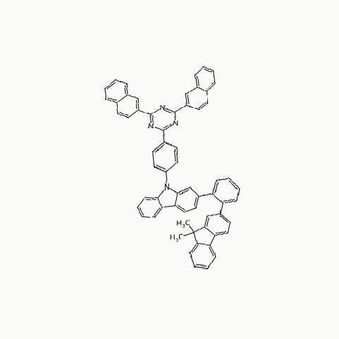 CC1(C)c2ccccc2-c2ccc(-c3ccccc3-c3ccc4c5ccccc5n(-c5ccc(-c6nc(-c7ccc8ccccc8c7)nc(-c7ccc8ccccc8c7)n6)cc5)c4c3)cc21